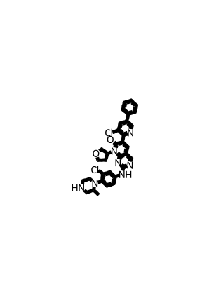 CC1CNCCN1c1ccc(Nc2ncc3cc(-c4ncc(-c5ccccc5)cc4Cl)c(=O)n(C4CCOC4)c3n2)cc1Cl